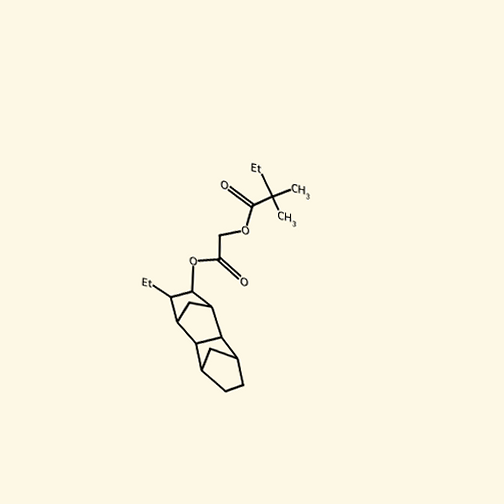 CCC1C2CC(C1OC(=O)COC(=O)C(C)(C)CC)C1C3CCC(C3)C21